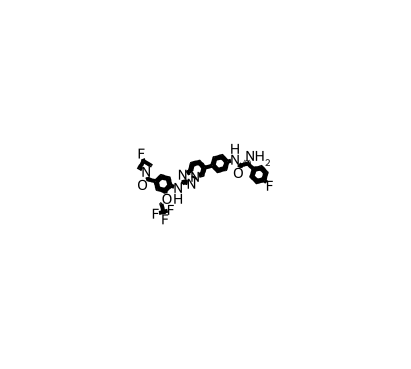 N[C@@H](C(=O)Nc1ccc(-c2ccc3nc(Nc4ccc(C(=O)N5CC(F)C5)cc4OCC(F)(F)F)nn3c2)cc1)c1ccc(F)cc1